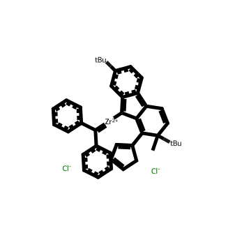 CC(C)(C)c1ccc2c(c1)=[C]([Zr+2]=[C](c1ccccc1)c1ccccc1)C1=C(C3=CC=CC3)C(C)(C(C)(C)C)C=CC=21.[Cl-].[Cl-]